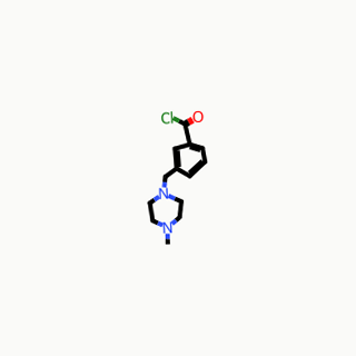 CN1CCN(Cc2cccc(C(=O)Cl)c2)CC1